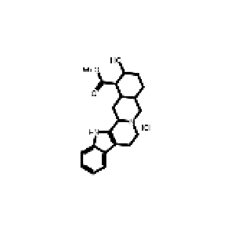 COC(=O)C1C(O)CCC2CN3CCc4c([nH]c5ccccc45)C3CC21.Cl